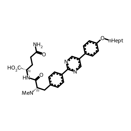 CCCCCCCOc1ccc(-c2cnc(-c3ccc(C[C@H](NC)C(=O)N[C@@H](CCC(N)=O)C(=O)O)cc3)nc2)cc1